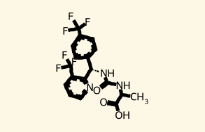 CC(NC(=O)N[C@@H](c1ccc(C(F)(F)F)cc1)c1ncccc1C(F)(F)F)C(=O)O